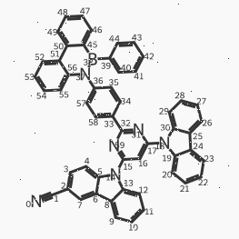 N#Cc1ccc2c(c1)c1ccccc1n2-c1cc(-n2c3ccccc3c3ccccc32)nc(-c2ccc(N3B(c4ccccc4)c4ccccc4-c4ccccc43)cc2)n1